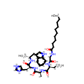 CCCCCCCCCCCCCCCCCCCC(=O)NCC(=O)N[C@@H](CC(=O)O)C(=O)N[C@@H](C)C(=O)N[C@@H](Cc1c[nH]cn1)C(=O)N[C@@H](Cc1c[nH]c2ccccc12)C(=O)O